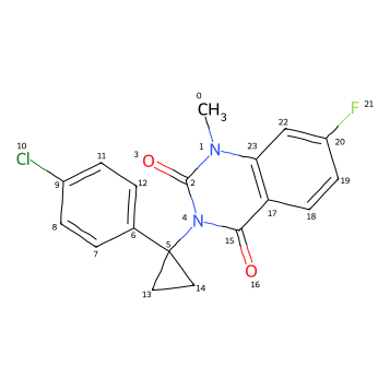 Cn1c(=O)n(C2(c3ccc(Cl)cc3)CC2)c(=O)c2ccc(F)cc21